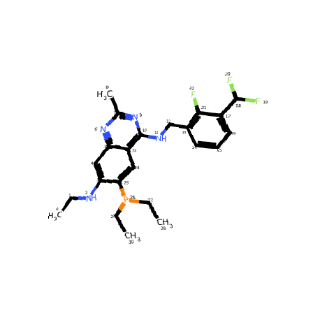 CCNc1cc2nc(C)nc(NCc3cccc(C(F)F)c3F)c2cc1P(CC)CC